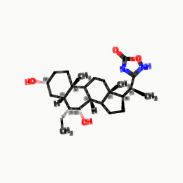 CC[C@H]1[C@@H](O)[C@H]2C3CC[C@H]([C@H](C)c4nc(=O)o[nH]4)[C@@]3(C)CCC2[C@@]2(C)CC[C@@H](O)C[C@@H]12